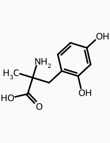 CC(N)(Cc1ccc(O)cc1O)C(=O)O